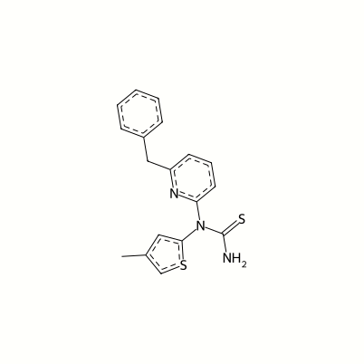 Cc1csc(N(C(N)=S)c2cccc(Cc3ccccc3)n2)c1